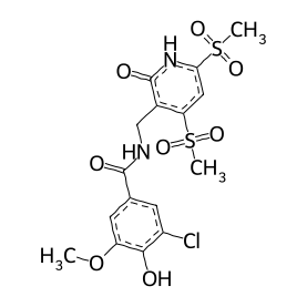 COc1cc(C(=O)NCc2c(S(C)(=O)=O)cc(S(C)(=O)=O)[nH]c2=O)cc(Cl)c1O